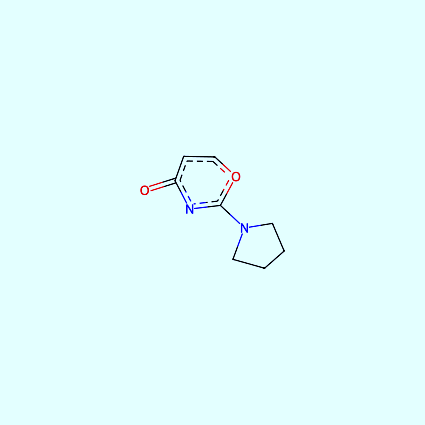 O=c1ccoc(N2CCCC2)n1